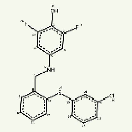 Oc1c(F)cc(NCc2ccccc2Sc2cccc(Cl)c2)cc1F